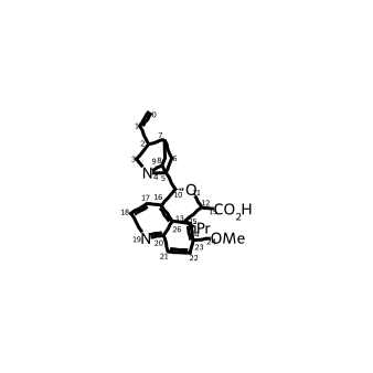 C=CC1CN2CCC1CC2[C@H](OC(CC(C)C)C(=O)O)c1ccnc2ccc(OC)cc12